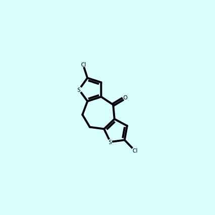 O=C1c2cc(Cl)sc2CCc2sc(Cl)cc21